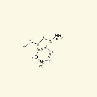 C1=CNOC=C1.CCCCCN